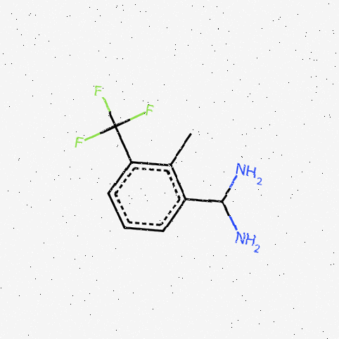 Cc1c(C(N)N)cccc1C(F)(F)F